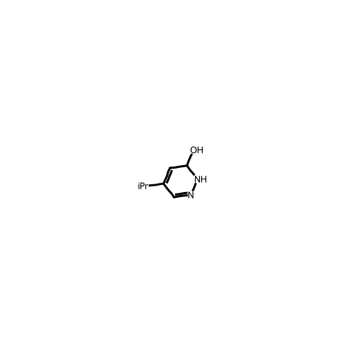 CC(C)C1=CC(O)NN=C1